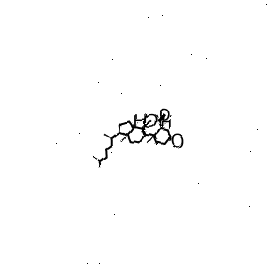 CC(C)CCC[C@@H](C)[C@H]1CC[C@H]2C3=C(CC[C@]12C)[C@@]1(C)CCC(=O)C[C@@H]1C(=O)O3